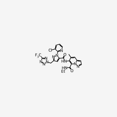 CCNC(=O)c1c(NC(=O)c2cc(Cn3nnc(C(F)(F)F)n3)nn2-c2ncccc2Cl)c(C)cc2ccnn12